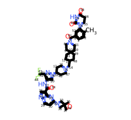 Cc1ccc(C(=O)N2CCC3(CCC(CN4CCC(n5cc(NC(=O)c6cnn7ccc(N8CC9(COC9)C8)nc67)c(C(F)F)n5)CC4)CC3)CC2)cc1N1CCC(=O)NC1=O